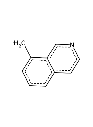 [CH2]c1cccc2ccncc12